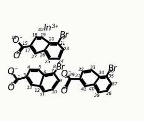 O=C([O-])c1ccc2c(Br)cccc2c1.O=C([O-])c1ccc2c(Br)cccc2c1.O=C([O-])c1ccc2c(Br)cccc2c1.[In+3]